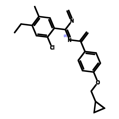 C=N/C(=N\C(=C)c1ccc(OCC2CC2)cc1)c1cc(C)c(CC)cc1Cl